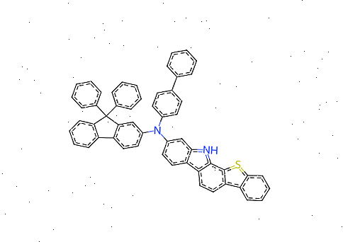 c1ccc(-c2ccc(N(c3ccc4c(c3)C(c3ccccc3)(c3ccccc3)c3ccccc3-4)c3ccc4c(c3)[nH]c3c4ccc4c5ccccc5sc43)cc2)cc1